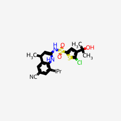 CC(C)c1cc(C#N)cc2c1NC(NS(=O)(=O)c1cc(C(C)(C)O)c(Cl)s1)=CC2C